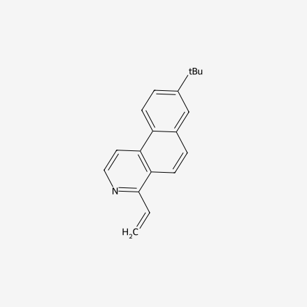 C=Cc1nccc2c1ccc1cc(C(C)(C)C)ccc12